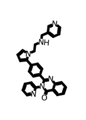 O=c1c2ccccc2nc(-c2ccc(-c3cccn3CCNCc3cccnc3)cc2)n1-c1ccccn1